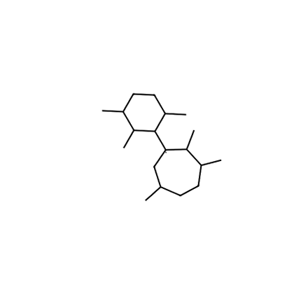 CC1CCC(C)C(C)[C](C2C(C)CCC(C)C2C)C1